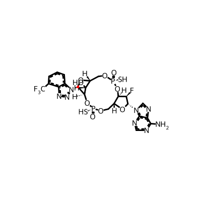 Nc1ncnc2c1ncn2[C@@H]1O[C@@H]2CO[P@](=O)(S)O[C@@H]3[C@H](O)[C@@H](CO[P@](=O)(S)O[C@H]2[C@H]1F)O[C@H]3n1nnc2c(C(F)(F)F)cccc21